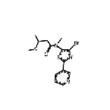 CSC(C)CC(=O)N(C)c1sc(-c2cccnc2)nc1Br